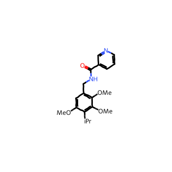 COc1cc(CNC(=O)c2cccnc2)c(OC)c(OC)c1C(C)C